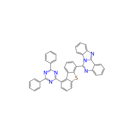 c1ccc(-c2nc(-c3ccccc3)nc(-c3cccc4sc5c(-c6nc7ccccc7c7nc8ccccc8n67)cccc5c34)n2)cc1